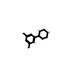 Cc1cc(C)cc(C2CCCCC2)c1